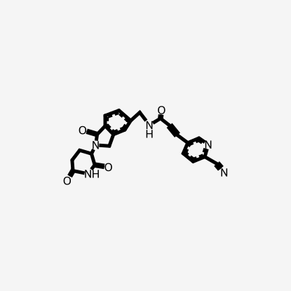 N#Cc1ccc(C#CC(=O)NCc2ccc3c(c2)CN(C2CCC(=O)NC2=O)C3=O)cn1